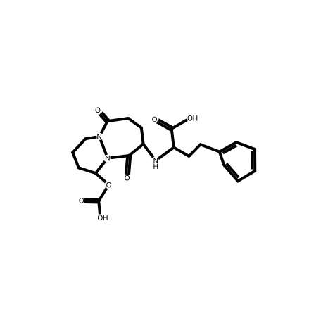 O=C(O)OC1CCCN2C(=O)CCC(NC(CCc3ccccc3)C(=O)O)C(=O)N12